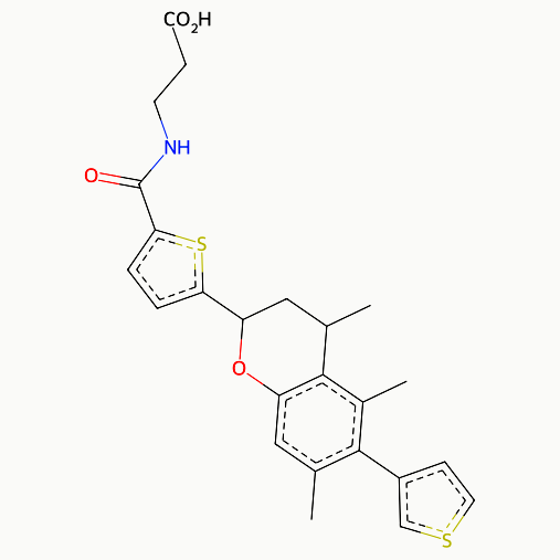 Cc1cc2c(c(C)c1-c1ccsc1)C(C)CC(c1ccc(C(=O)NCCC(=O)O)s1)O2